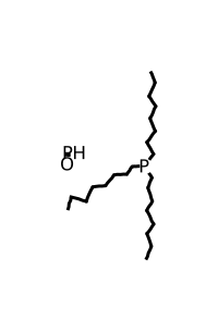 CCCCCCCCP(CCCCCCCC)CCCCCCCC.O=P